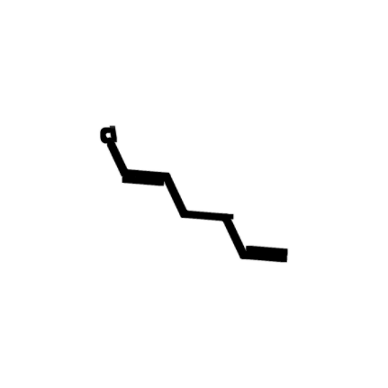 C=C[CH]CC=CCl